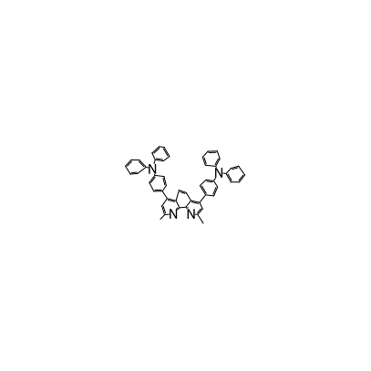 Cc1cc(-c2ccc(N(c3ccccc3)c3ccccc3)cc2)c2ccc3c(-c4ccc(N(c5ccccc5)c5ccccc5)cc4)cc(C)nc3c2n1